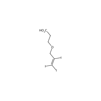 O=C(O)CCOCC(I)=C(I)I